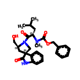 CC(C)C[C@@H](C(=O)N1C[C@]2(C[C@H]1CO)C(=O)Nc1ccccc12)N(C)C(=O)OCc1ccccc1